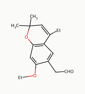 CCOc1cc2c(cc1CC=O)C(CC)=CC(C)(C)O2